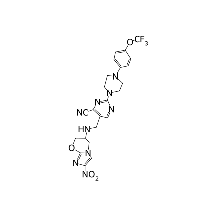 N#Cc1nc(N2CCN(c3ccc(OC(F)(F)F)cc3)CC2)ncc1CNC1COc2nc([N+](=O)[O-])cn2C1